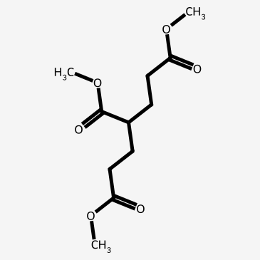 COC(=O)CCC(CCC(=O)OC)C(=O)OC